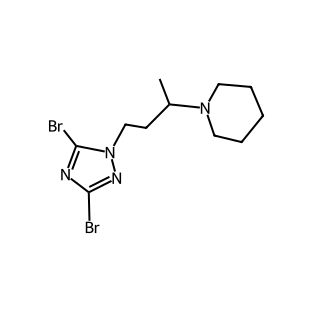 CC(CCn1nc(Br)nc1Br)N1CCCCC1